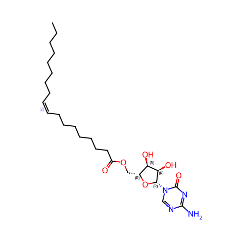 CCCCCCCC/C=C\CCCCCCCC(=O)OC[C@H]1O[C@@H](n2cnc(N)nc2=O)[C@H](O)[C@@H]1O